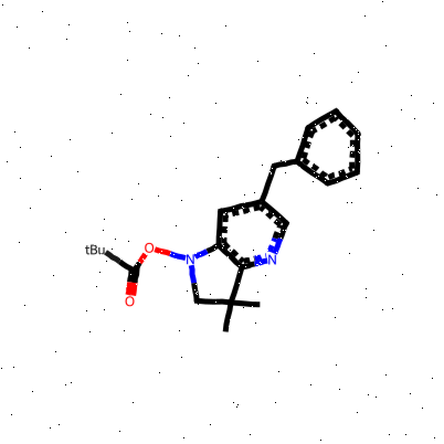 CC(C)(C)C(=O)ON1CC(C)(C)c2ncc(Cc3ccccc3)cc21